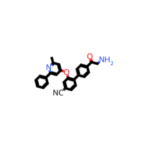 Cc1cc(Oc2cc(C#N)ccc2-c2ccc(C(=O)CN)cc2)cc(-c2ccccc2)n1